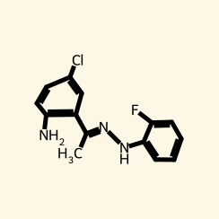 C/C(=N\Nc1ccccc1F)c1cc(Cl)ccc1N